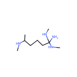 CNC(C)CCCC(N)(NC)NC